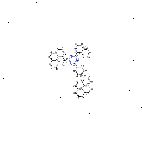 C1=CC2=CC=C3CC=CC4=C3C2C(=C1)C=C4c1nc(-c2ccc(-c3ccc4c5c6c(ccc35)C=CCC6=CC4)cc2)nc(-c2nccc3ccccc23)n1